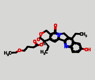 CCOCCCC(=O)O[C@]1(CC)C(=O)OCc2c1cc1n(c2=O)Cc2c-1nc1ccc(O)cc1c2CC